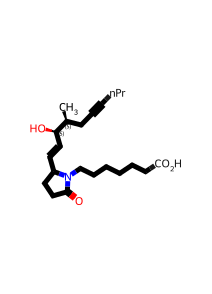 CCCC#CC[C@H](C)[C@H](O)C=CC1CCC(=O)N1CCCCCCC(=O)O